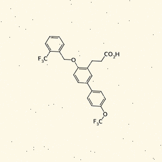 O=C(O)CCc1cc(-c2ccc(OC(F)(F)F)cc2)ccc1OCc1ccccc1C(F)(F)F